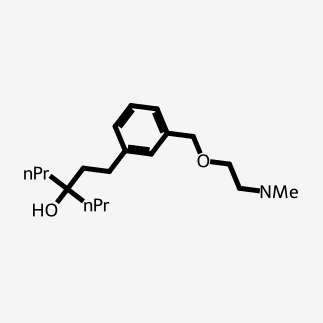 CCCC(O)(CCC)CCc1cccc(COCCNC)c1